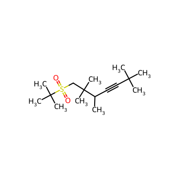 CC(C#CC(C)(C)C)C(C)(C)CS(=O)(=O)C(C)(C)C